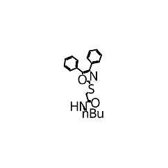 CCCCNC(=O)CSc1nc(-c2ccccc2)c(-c2ccccc2)o1